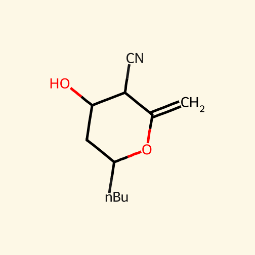 C=C1OC(CCCC)CC(O)C1C#N